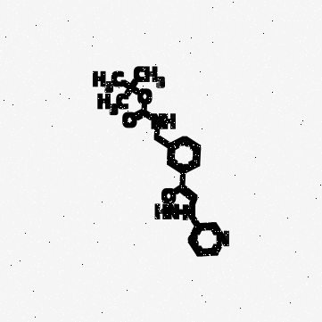 CC(C)(C)OC(=O)NCc1cccc(C2=CN(c3cccnc3)NO2)c1